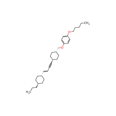 CCCCCOc1ccc(OC[C@H]2CC[C@H](C#C/C=C/[C@H]3CC[C@H](CCC)CC3)CC2)cc1